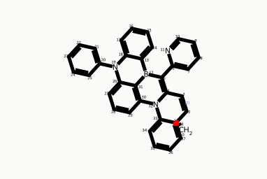 C=C/C=C\C1=C(c2ccccn2)B2c3ccccc3N(c3ccccc3)c3cccc(c32)N1c1ccccc1